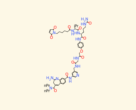 CCCN(CCC)C(=O)C1=Cc2ccc(C(=O)Nc3cncc(CNC(=O)CNC(=O)COc4ccc(NC(=O)[C@H](CCCNC(N)=O)NC(=O)[C@@H](NC(=O)CCCCCN5C(=O)C=CC5=O)C(C)C)cc4)c3)cc2N=C(N)C1